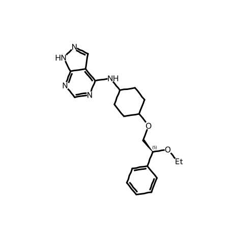 CCO[C@H](COC1CCC(Nc2ncnc3[nH]ncc23)CC1)c1ccccc1